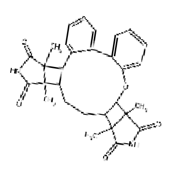 CC12C(=O)NC(=O)C1(C)C1Oc3ccccc3-c3ccccc3C3C(CCC12)C1(C)C(=O)NC(=O)C31C